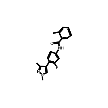 Cc1ccccc1C(=O)Nc1ccc(-c2cn(C)nc2C)c(F)c1